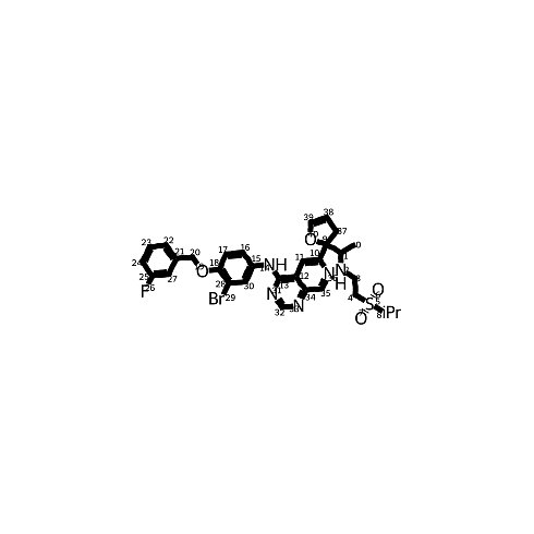 CC(NCCS(=O)(=O)C(C)C)C1(c2cc3c(Nc4ccc(OCc5cccc(F)c5)c(Br)c4)ncnc3cn2)CC=CO1